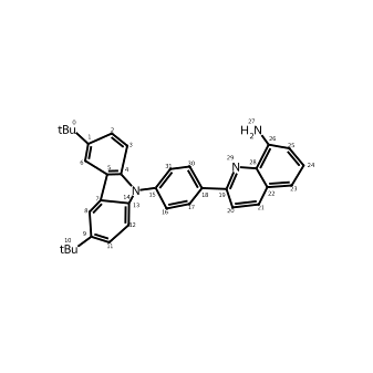 CC(C)(C)c1ccc2c(c1)c1cc(C(C)(C)C)ccc1n2-c1ccc(-c2ccc3cccc(N)c3n2)cc1